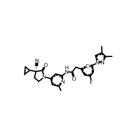 Cc1cc(N2CC[C@@](C#N)(C3CC3)C2=O)cc(NC(=O)Cc2cc(F)cc(-n3cc(C)c(C)n3)c2)n1